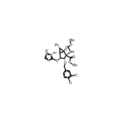 CC(C)[C@H]1[C@@H]2[C@H](Sc3nc[nH]n3)[C@@H](OCc3ccc(Cl)c(Cl)c3)[C@@](NC(=O)OC(C)(C)C)(C(=O)OC(C)(C)C)[C@H]12